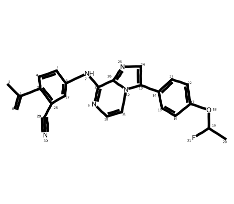 C=C(C)c1ccc(Nc2nccn3c(-c4ccc(OC(C)F)cc4)cnc23)cc1C#N